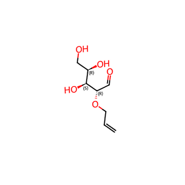 C=CCO[C@@H](C=O)[C@@H](O)[C@H](O)CO